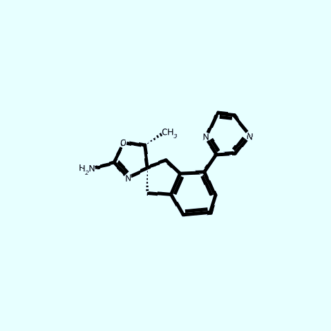 C[C@H]1OC(N)=N[C@@]12Cc1cccc(-c3cnccn3)c1C2